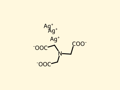 O=C([O-])CN(CC(=O)[O-])CC(=O)[O-].[Ag+].[Ag+].[Ag+]